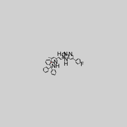 Cc1cc(C=CC(=O)Nc2cc(-c3ccc(F)cc3)cnc2N)nc(NC(c2ccccc2)(c2ccccc2)c2ccccc2)c1